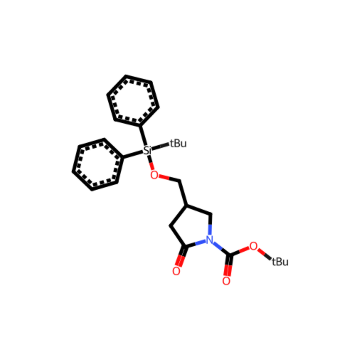 CC(C)(C)OC(=O)N1CC(CO[Si](c2ccccc2)(c2ccccc2)C(C)(C)C)CC1=O